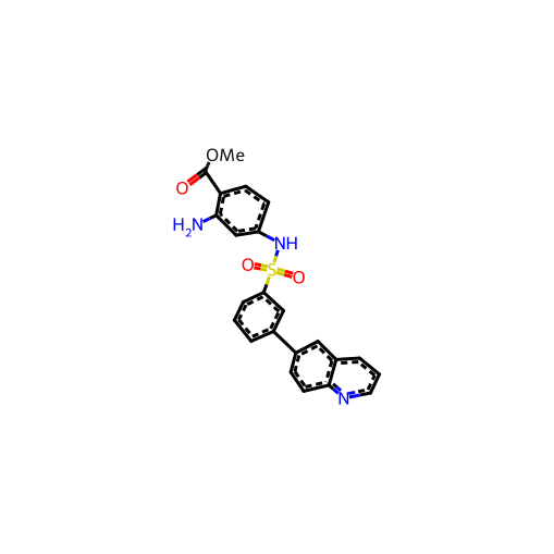 COC(=O)c1ccc(NS(=O)(=O)c2cccc(-c3ccc4ncccc4c3)c2)cc1N